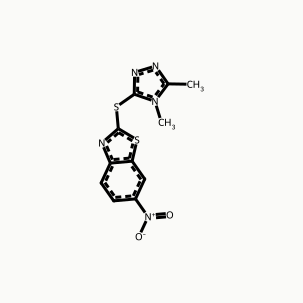 Cc1nnc(Sc2nc3ccc([N+](=O)[O-])cc3s2)n1C